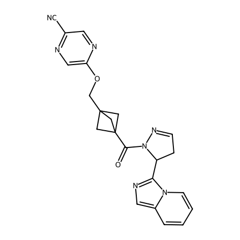 N#Cc1cnc(OCC23CC(C(=O)N4N=CCC4c4ncc5ccccn45)(C2)C3)cn1